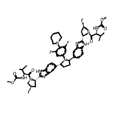 COC(=O)N[C@H](C(=O)N1C[C@H](F)C[C@H]1c1nc2cc(C3CC[C@H](c4ccc5[nH]c([C@@H]6C[C@@H](F)CN6C(=O)[C@@H](NC(=O)OC)C(C)C)nc5c4)N3c3cc(F)c(N4CCCCC4)c(F)c3)ccc2[nH]1)C(C)C